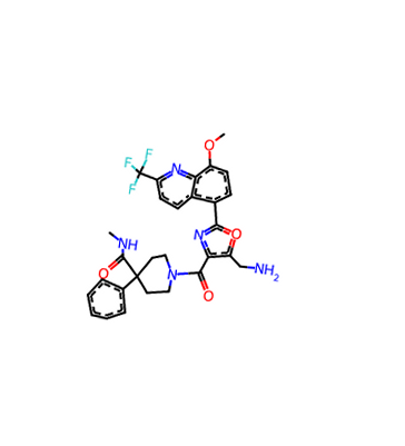 CNC(=O)C1(c2ccccc2)CCN(C(=O)c2nc(-c3ccc(OC)c4nc(C(F)(F)F)ccc34)oc2CN)CC1